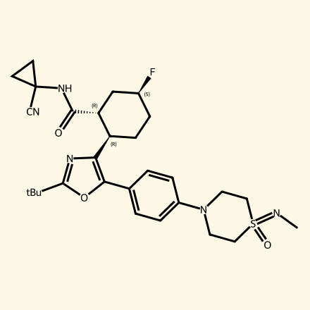 CN=S1(=O)CCN(c2ccc(-c3oc(C(C)(C)C)nc3[C@@H]3CC[C@H](F)C[C@H]3C(=O)NC3(C#N)CC3)cc2)CC1